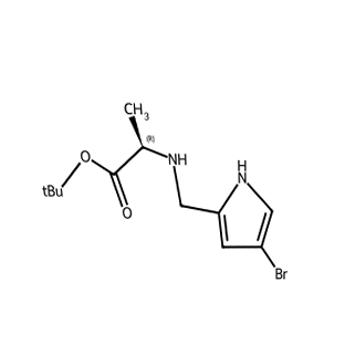 C[C@@H](NCc1cc(Br)c[nH]1)C(=O)OC(C)(C)C